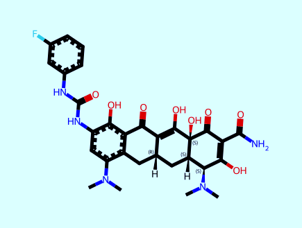 CN(C)c1cc(NC(=O)Nc2cccc(F)c2)c(O)c2c1C[C@H]1C[C@H]3[C@H](N(C)C)C(O)=C(C(N)=O)C(=O)[C@@]3(O)C(O)=C1C2=O